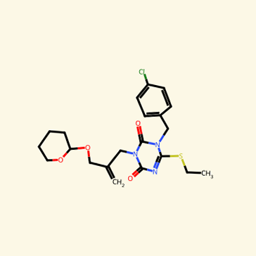 C=C(COC1CCCCO1)Cn1c(=O)nc(SCC)n(Cc2ccc(Cl)cc2)c1=O